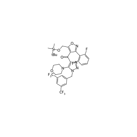 CC(C)(C)[Si](C)(C)OCc1onc(-c2c(F)cccc2F)c1C(=O)c1nnn(Cc2cc(C(F)(F)F)cc(C(F)(F)F)c2)c1N1CCOCC1